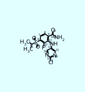 CC(C)S(=O)(=O)c1ccc(C(N)=O)c(Nc2cnc(Cl)nc2)c1F